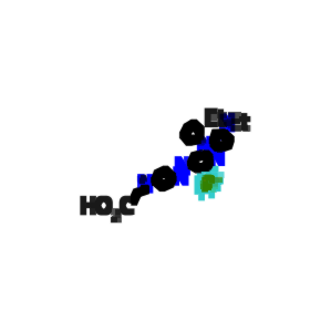 CCN(CC)c1ccc2nc3ccc(/N=N/c4ccc(N(C)CCCC(=O)O)cc4)cc3[n+](-c3ccccc3)c2c1.F[P-](F)(F)(F)(F)F